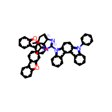 CC1C/C=C(c2cccc3c2oc2ccccc23)/N=C(n2c3ccccc3c3c4c5ccccc5n(-c5ccccc5)c4ccc32)\N=C/1c1ccc2c(c1)oc1ccccc12